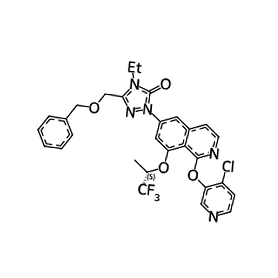 CCn1c(COCc2ccccc2)nn(-c2cc(O[C@@H](C)C(F)(F)F)c3c(Oc4cnccc4Cl)nccc3c2)c1=O